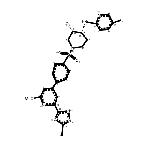 COc1cc(-c2ccc(S(=O)(=O)N3CC[C@@H](Nc4ccc(C)cn4)[C@@H](O)C3)cc2)cc(-c2nnc(C)o2)n1